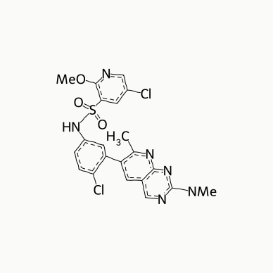 CNc1ncc2cc(-c3cc(NS(=O)(=O)c4cc(Cl)cnc4OC)ccc3Cl)c(C)nc2n1